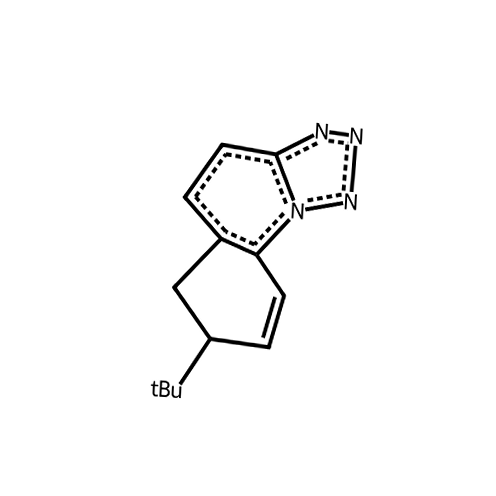 CC(C)(C)C1C=Cc2c(ccc3nnnn23)C1